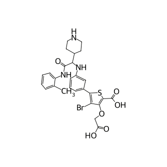 Cc1ccccc1NC(=O)C(Nc1cccc(-c2sc(C(=O)O)c(OCC(=O)O)c2Br)c1)C1CCNCC1